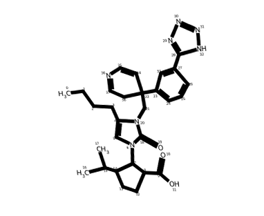 CCCCc1cn(C2C(C(=O)O)CCC2C(C)C)c(=O)n1CC1(c2cccc(-c3nnn[nH]3)c2)C=CN=CC1